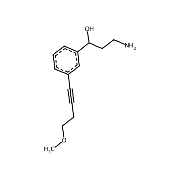 COCCC#Cc1cccc(C(O)CCN)c1